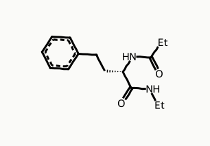 CCNC(=O)[C@H](CCc1ccccc1)NC(=O)CC